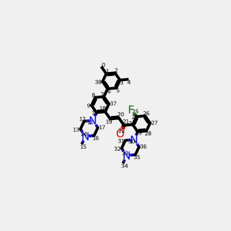 Cc1cc(C)cc(-c2ccc(N3CCN(C)CC3)c(C=CC(=O)c3c(F)cccc3N3CCN(C)CC3)c2)c1